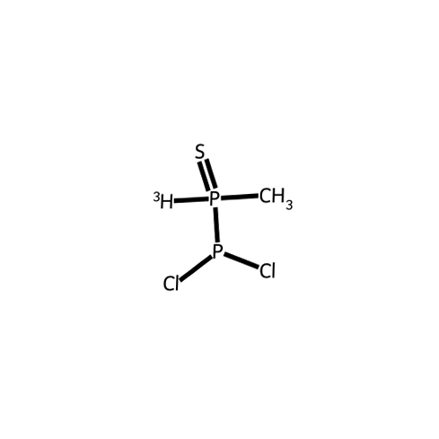 [3H]P(C)(=S)P(Cl)Cl